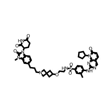 Cc1cc(S(=O)(=O)NCCOC2CC3(C2)CN(CCCc2ccc4c(c2)n(C)c(=O)n4C2CCC(=O)NC2=O)C3)ccc1Nc1ncc2ccc(=O)n(C3CCCC3)c2n1